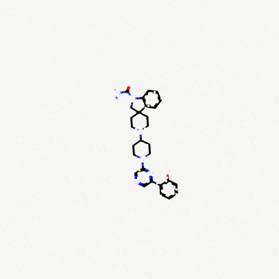 CN(C)C(=O)N1CC2(CCN(C3CCN(c4cncc(-c5ccccc5O)n4)CC3)CC2)c2ccccc21